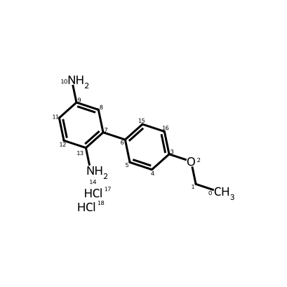 CCOc1ccc(-c2cc(N)ccc2N)cc1.Cl.Cl